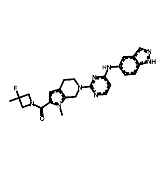 Cn1c(C(=O)N2CC(C)(F)C2)cc2c1CN(c1nccc(Nc3ccc4[nH]ncc4c3)n1)CC2